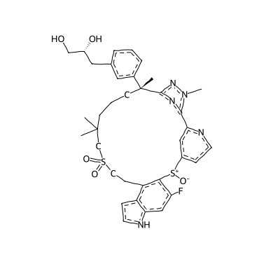 Cn1nc2nc1-c1cc(ccn1)[S+]([O-])c1c(F)cc3[nH]ccc3c1CCS(=O)(=O)CC(C)(C)CCC[C@]2(C)c1cccc(C[C@@H](O)CO)c1